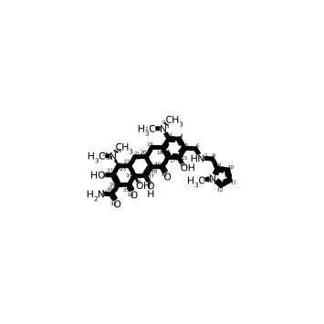 CN(C)c1cc(CNCc2cccn2C)c(O)c2c1CC1CC3[C@H](N(C)C)C(O)=C(C(N)=O)C(=O)[C@@]3(O)C(O)=C1C2=O